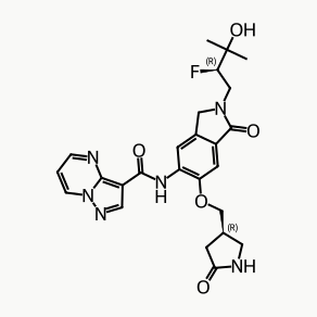 CC(C)(O)[C@H](F)CN1Cc2cc(NC(=O)c3cnn4cccnc34)c(OC[C@H]3CNC(=O)C3)cc2C1=O